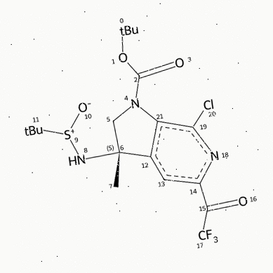 CC(C)(C)OC(=O)N1C[C@@](C)(N[S+]([O-])C(C)(C)C)c2cc(C(=O)C(F)(F)F)nc(Cl)c21